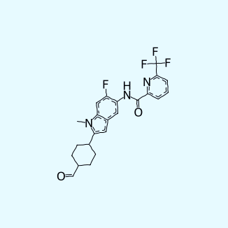 Cn1c(C2CCC(C=O)CC2)cc2cc(NC(=O)c3cccc(C(F)(F)F)n3)c(F)cc21